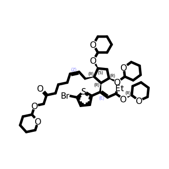 CCC(/C=C(/c1ccc(Br)s1)[C@H]1[C@@H](C/C=C\CCCC(=O)COC2CCCCO2)[C@@H](OC2CCCCO2)C[C@H]1OC1CCCCO1)O[C@@H]1CCCCO1